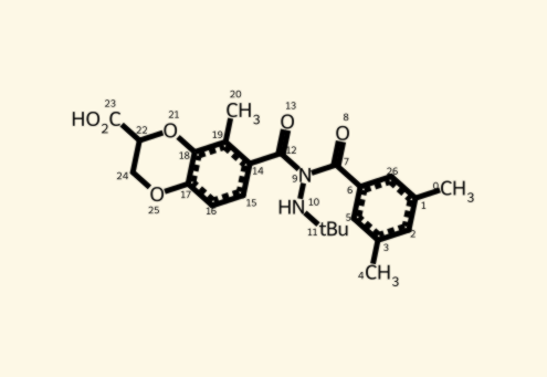 Cc1cc(C)cc(C(=O)N(NC(C)(C)C)C(=O)c2ccc3c(c2C)OC(C(=O)O)CO3)c1